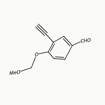 C#Cc1cc(C=O)ccc1OCOC